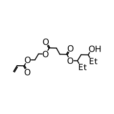 C=CC(=O)OCCOC(=O)CCC(=O)OC(CC)CC(O)CC